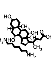 C[C@H](CCC(=O)O)[C@H]1CCC2C3C(C[C@H](O)[C@@]21C)[C@@]1(C)CC[C@@H](O)C[C@H]1C[C@H]3O.NCCCCCCN